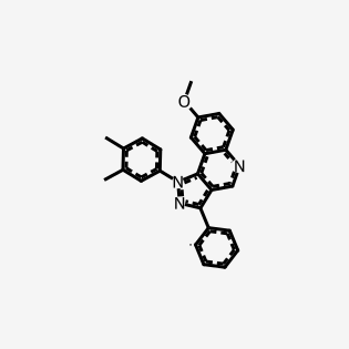 COc1ccc2ncc3c(-c4[c]cccc4)nn(-c4ccc(C)c(C)c4)c3c2c1